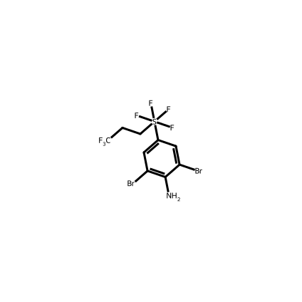 Nc1c(Br)cc(S(F)(F)(F)(F)CCC(F)(F)F)cc1Br